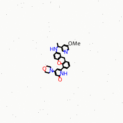 COc1cncc(C(C)Nc2ccc3c(c2)Cc2cccc(-c4cc(N5CCOCC5)cc(=O)[nH]4)c2O3)c1